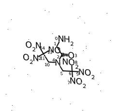 NCC(=O)N(CC([N+](=O)[O-])([N+](=O)[O-])[N+](=O)[O-])CC([N+](=O)[O-])([N+](=O)[O-])[N+](=O)[O-]